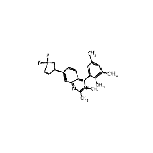 Cc1cc(C)c(C)c(-c2c3ccc(C4CCC(F)(F)C4)cc3nc(C)[n+]2C)c1